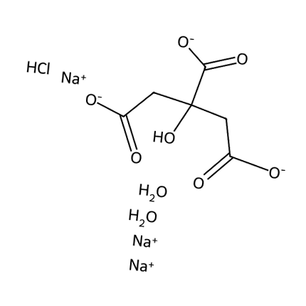 Cl.O.O.O=C([O-])CC(O)(CC(=O)[O-])C(=O)[O-].[Na+].[Na+].[Na+]